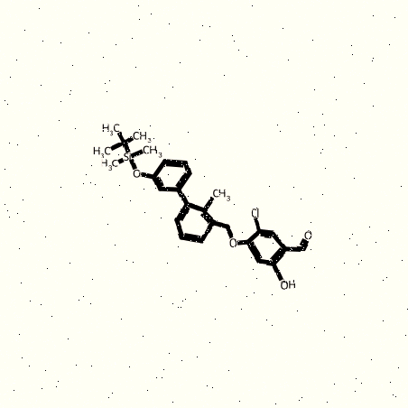 Cc1c(COc2cc(O)c(C=O)cc2Cl)cccc1-c1cccc(O[Si](C)(C)C(C)(C)C)c1